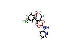 O=C(Nc1ccccn1)OC1CCOc2ccc(Cl)cc2C1=O